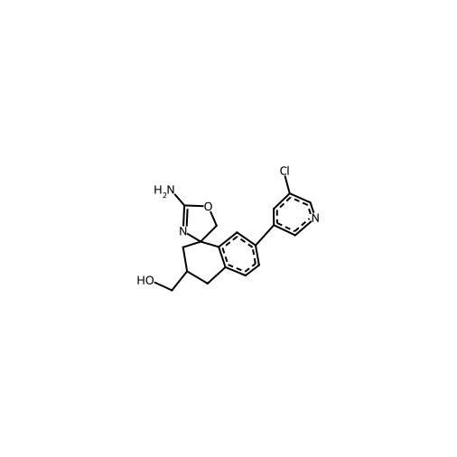 NC1=NC2(CO1)CC(CO)Cc1ccc(-c3cncc(Cl)c3)cc12